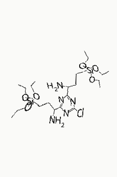 CCO[Si](CCC(N)c1nc(Cl)nc(C(N)CC[Si](OCC)(OCC)OCC)n1)(OCC)OCC